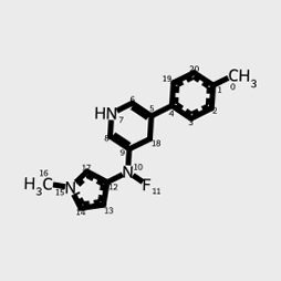 Cc1ccc(C2=CNC=C(N(F)c3ccn(C)c3)C2)cc1